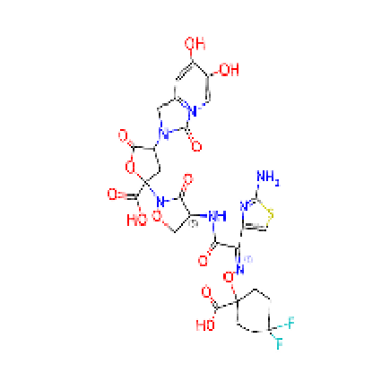 Nc1nc(/C(=N/OC2(C(=O)O)CCC(F)(F)CC2)C(=O)N[C@H]2CON(C3(C(=O)O)CC(N4Cc5cc(O)c(O)c[n+]5C4=O)C(=O)O3)C2=O)cs1